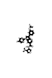 CN(C)C1COC[C@@H]1NC(=O)c1cnc2c(-c3cccc(OC(F)F)c3)cn(-c3ncc(F)cn3)c2c1